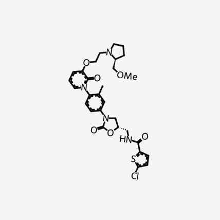 COC[C@@H]1CCCN1CCOc1cccn(-c2ccc(N3C[C@H](CNC(=O)c4ccc(Cl)s4)OC3=O)cc2C)c1=O